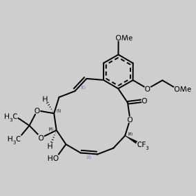 COCOc1cc(OC)cc2c1C(=O)O[C@@H](C(F)(F)F)C/C=C\C(O)[C@H]1OC(C)(C)O[C@H]1C/C=C/2